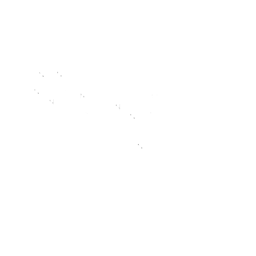 COc1cc(OC)c2[nH]c3cc(C(=O)Nc4nnn[nH]4)nn3c(=O)c2c1